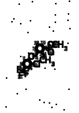 CCc1c(COc2ccc(C(F)(F)F)cc2Cl)cccc1C(=O)OC